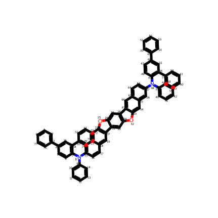 c1ccc(-c2ccc(N(c3ccccc3)c3ccc4cc5c(cc4c3)oc3cc4c(cc35)oc3cc5cc(N(c6ccccc6)c6ccc(-c7ccccc7)cc6-c6ccccc6)ccc5cc34)c(-c3ccccc3)c2)cc1